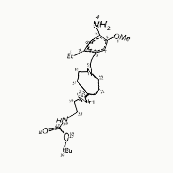 CCc1cc(N)c(OC)cc1N1CCC(NCCNC(=O)OC(C)(C)C)CC1